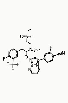 CCS(=O)(=O)CCN(C(=O)Cc1ccc(F)c(C(F)(F)F)c1)[C@H](C)c1nc2ncccn2c1-c1ccc(C#N)c(F)c1